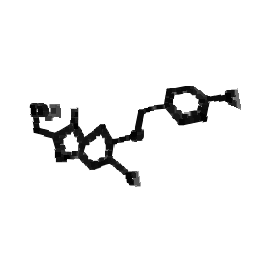 O=C(O)Cc1nc2cc(Cl)c(OCc3ccc(Cl)cc3)cc2[nH]1